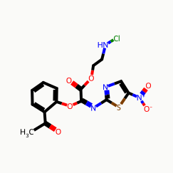 CC(=O)c1ccccc1O/C(=N/c1ncc([N+](=O)[O-])s1)C(=O)OCCNCl